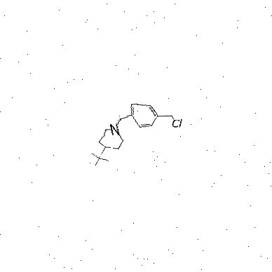 CC(C)(C)C1CCN(Cc2ccc(CCl)cc2)CC1